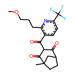 COCCCc1nc(C(F)(F)F)ccc1C(=O)C1C(=O)C2CCC(C)(C2)C1=O